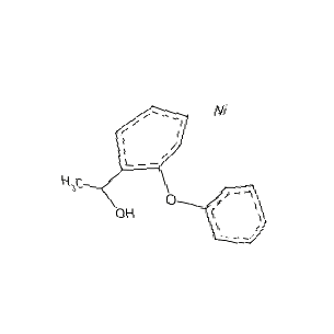 CC(O)c1ccccc1Oc1ccccc1.[Ni]